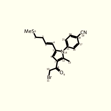 CSCCC=Cc1cc(C(=O)CBr)c(C)n1-c1ccc(C#N)cc1